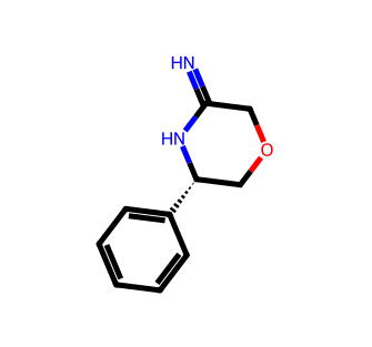 N=C1COC[C@H](c2ccccc2)N1